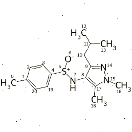 Cc1ccc([S+]([O-])Nc2c(CC(C)C)nn(C)c2C)cc1